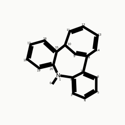 CN1c2ccccc2C2=CC(C=CC=C2)c2ccccc21